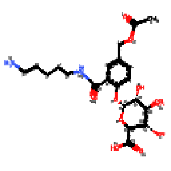 CC(=O)OCc1ccc(O[C@H]2O[C@H](C(=O)O)[C@@H](O)[C@H](O)[C@H]2O)c(C(=O)NCCCCCN)c1